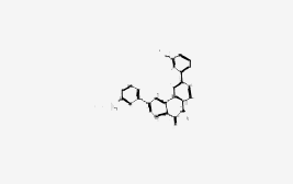 O=C1C(=O)c2ccc(-c3cccc([N+](=O)[O-])c3)cc2-c2cc(-c3cccc([N+](=O)[O-])c3)ccc21